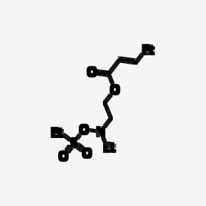 CCC=CC(=O)OCCN(CC)OS(=O)(=O)CC